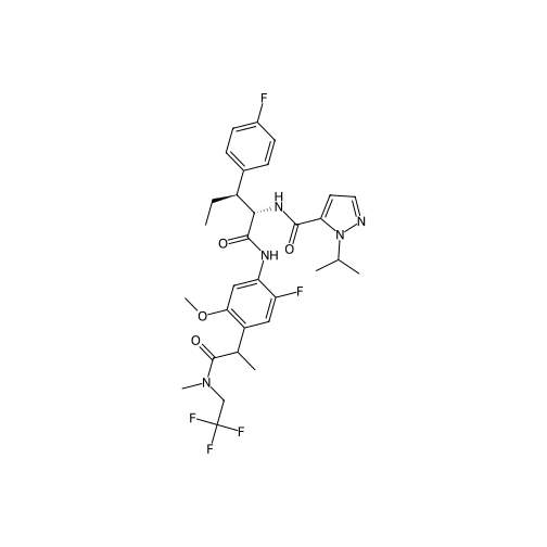 CC[C@@H](c1ccc(F)cc1)[C@H](NC(=O)c1ccnn1C(C)C)C(=O)Nc1cc(OC)c(C(C)C(=O)N(C)CC(F)(F)F)cc1F